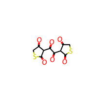 O=C1CSC(=O)C1C(=O)C(=O)C1C(=O)CSC1=O